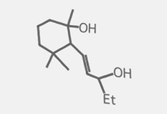 CCC(O)C=CC1C(C)(C)CCCC1(C)O